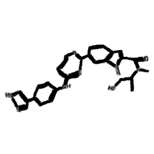 CC(CO)N(C)C(=O)c1cc2ccc(-c3nccc(Nc4ccc(-c5cn[nH]c5)cc4)n3)cc2[nH]1